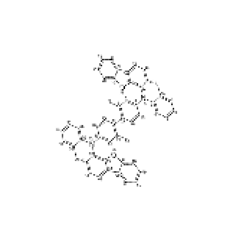 Cc1cc(N(c2ccccc2C)c2cccc3c2oc2ccccc23)ccc1-c1ccc(N(c2ccccc2C)c2cccc3c2oc2ccccc23)cc1C